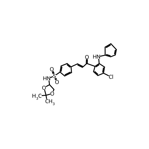 CC1(C)OCC(NS(=O)(=O)c2ccc(C=CC(=O)c3ccc(Cl)cc3Nc3ccccc3)cc2)O1